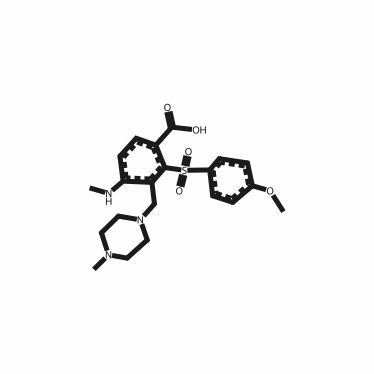 CNc1ccc(C(=O)O)c(S(=O)(=O)c2ccc(OC)cc2)c1CN1CCN(C)CC1